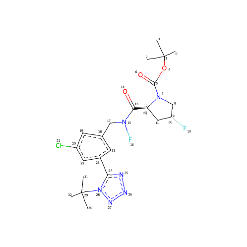 CC(C)(C)OC(=O)N1C[C@H](F)C[C@H]1C(=O)N(F)Cc1cc(Cl)cc(-c2nnnn2C(C)(C)C)c1